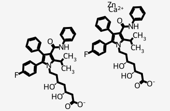 CC(C)c1c(C(=O)Nc2ccccc2)c(-c2ccccc2)c(-c2ccc(F)cc2)n1CC[C@@H](O)C[C@@H](O)CC(=O)[O-].CC(C)c1c(C(=O)Nc2ccccc2)c(-c2ccccc2)c(-c2ccc(F)cc2)n1CC[C@@H](O)C[C@@H](O)CC(=O)[O-].[Ca+2].[Zn]